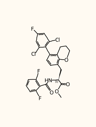 COC(=O)[C@H](Cc1ccc(-c2c(Cl)cc(F)cc2Cl)c2c1OCCC2)NC(=O)c1c(F)cccc1F